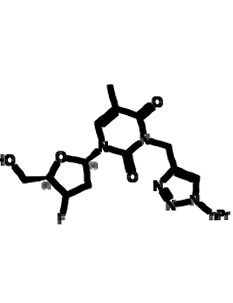 CCCn1cc(Cn2c(=O)c(C)cn([C@H]3CC(F)[C@@H](CO)O3)c2=O)nn1